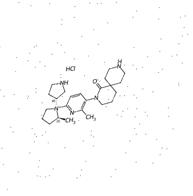 Cc1nc([N+]2([C@@H]3CCNC3)CCC[C@@H]2C)ccc1N1CCCC2(CCNCC2)C1=O.Cl